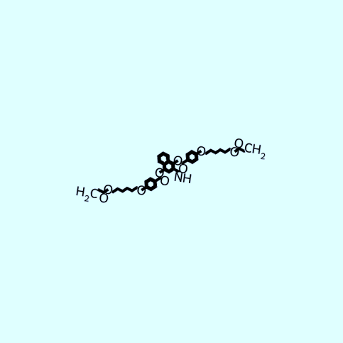 C=CC(=O)OCCCCCCOc1ccc(C(=O)Oc2cc(C=N)c(OC(=O)c3ccc(OCCCCCCOC(=O)C=C)cc3)c3ccccc23)cc1